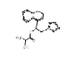 CC(C)C(=O)OC(Cn1ccnc1)c1cccc2ccccc12